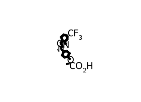 CC(Oc1ccc(N(C)c2nc3cc(C(F)(F)F)ccc3o2)cc1)C(=O)O